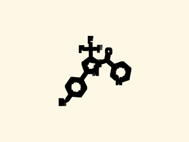 O=C(c1cccnc1)n1nc(-c2ccc(Br)cc2)cc1C(F)(F)F